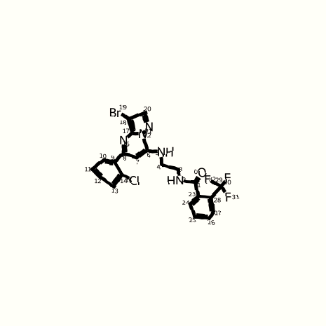 O=C(NCCNc1cc(-c2ccccc2Cl)nc2c(Br)cnn12)c1ccccc1C(F)(F)F